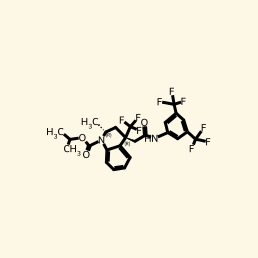 CC(C)OC(=O)N1c2ccccc2[C@@](CC(=O)Nc2cc(C(F)(F)F)cc(C(F)(F)F)c2)(C(F)(F)F)C[C@H]1C